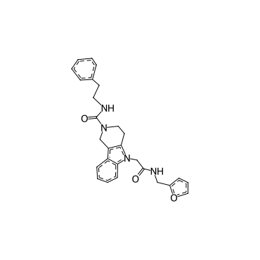 O=C(Cn1c2c(c3ccccc31)CN(C(=O)NCCc1ccccc1)CC2)NCc1ccco1